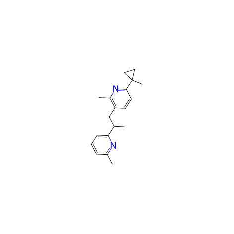 Cc1cccc(C(C)Cc2ccc(C3(C)CC3)nc2C)n1